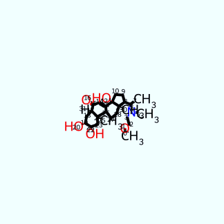 COCCN(C)C(C)C1CC[C@@]2(O)C3=CC(=O)[C@@H]4C[C@@H](O)[C@@H](O)C[C@]4(C)C3CC[C@]12C